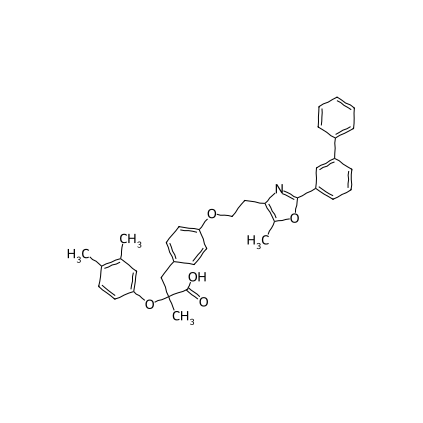 Cc1ccc(OC(C)(Cc2ccc(OCCc3nc(-c4cccc(-c5ccccc5)c4)oc3C)cc2)C(=O)O)cc1C